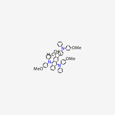 COc1ccc(N(c2ccccc2)c2ccc3c(c2)C(C)(C)c2cc4c(N(c5ccccc5)c5ccc(OC)cc5)c5ccccc5c(N(c5ccccc5)c5ccc(OC)cc5)c4cc2-3)cc1